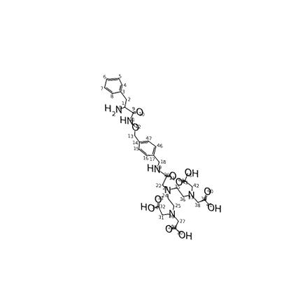 NC(Cc1ccccc1)C(=O)NOCc1ccc(CNC(=O)CN(CCN(CC(=O)O)CC(=O)O)CCN(CC(=O)O)CC(=O)O)cc1